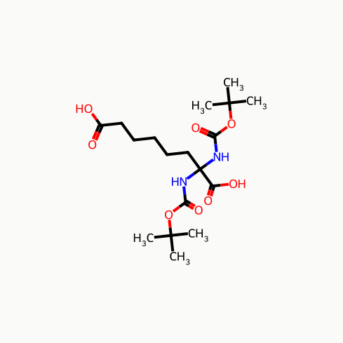 CC(C)(C)OC(=O)NC(CCCCCC(=O)O)(NC(=O)OC(C)(C)C)C(=O)O